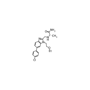 CCOCCn1c(CN[C@@H](C)C(N)=O)nc2ccc(-c3ccc(Cl)cc3)cc21